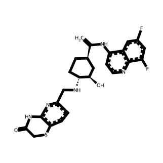 C=C(Nc1ccnc2c(F)cc(F)cc12)[C@@H]1CC[C@@H](NCc2ccc3c(n2)NC(=O)CS3)[C@H](O)C1